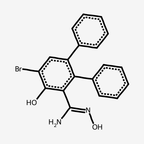 NC(=NO)c1c(O)c(Br)cc(-c2ccccc2)c1-c1ccccc1